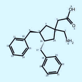 NCC1(CC(=O)O)C[C@H](Cc2ccccc2)[C@@H](Cc2ccccc2)C1